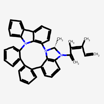 C=C/C(C)=C(/C)C(=C)N1c2cccc3c2N(c2cccc4c5ccccc5n(c24)-c2ccccc2-c2ccccc2-3)[C@@H]1C